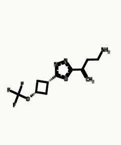 C=C(CCN)c1nnc([C@H]2C[C@@H](OC(F)(F)F)C2)o1